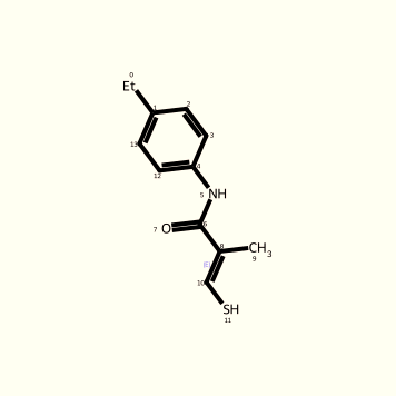 CCc1ccc(NC(=O)/C(C)=C/S)cc1